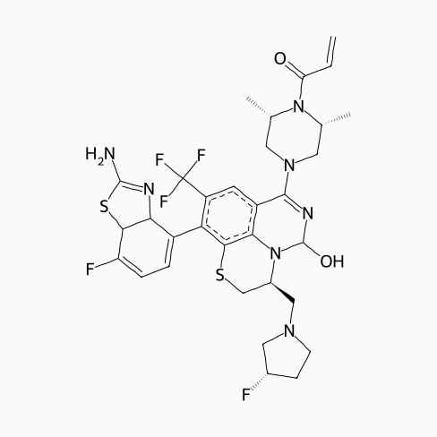 C=CC(=O)N1[C@H](C)CN(C2=NC(O)N3c4c2cc(C(F)(F)F)c(C2=CC=C(F)C5SC(N)=NC25)c4SC[C@@H]3CN2CC[C@H](F)C2)C[C@@H]1C